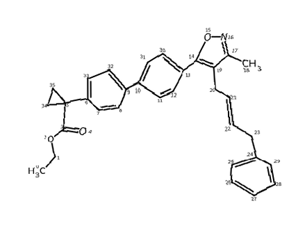 CCOC(=O)C1(c2ccc(-c3ccc(-c4onc(C)c4CC=CCc4ccccc4)cc3)cc2)CC1